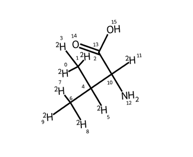 [2H]C([2H])([2H])C([2H])(C([2H])([2H])[2H])C([2H])(N)C(=O)O